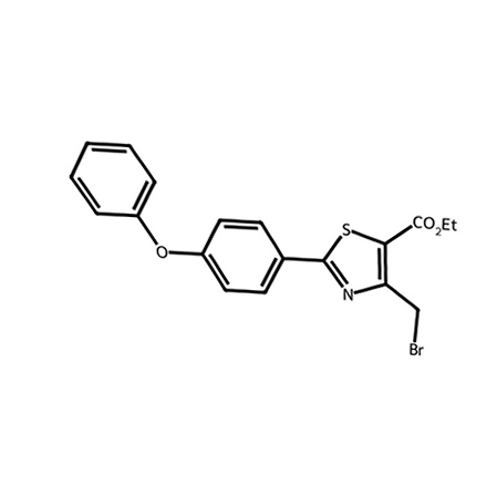 CCOC(=O)c1sc(-c2ccc(Oc3ccccc3)cc2)nc1CBr